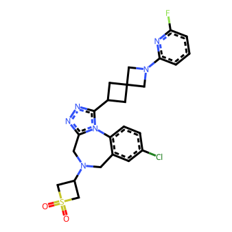 O=S1(=O)CC(N2Cc3cc(Cl)ccc3-n3c(nnc3C3CC4(C3)CN(c3cccc(F)n3)C4)C2)C1